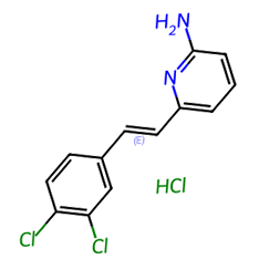 Cl.Nc1cccc(/C=C/c2ccc(Cl)c(Cl)c2)n1